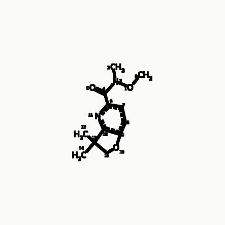 CON(C)C(=O)c1ccc2c(n1)C(C)(C)CO2